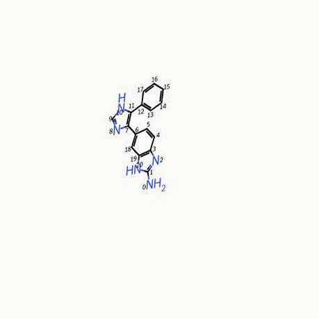 Nc1nc2ccc(-c3nc[nH]c3-c3ccccc3)cc2[nH]1